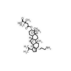 C=C(C)C1CC[C@]2(CCCN)CC[C@]3(C)[C@H](CC[C@@H]4[C@@]5(C)CC[C@H](OC(=O)CC(C)(C)C(=O)O)C(C)(C)[C@@H]5CC[C@]43C)[C@@H]12